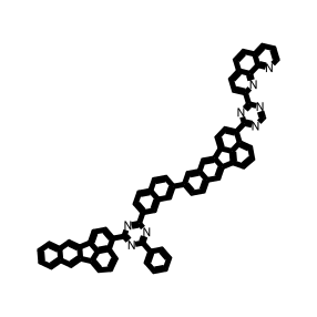 c1ccc(-c2nc(-c3ccc4ccc(-c5ccc6cc7c(cc6c5)-c5ccc(-c6ncnc(-c8ccc9ccc%10cccnc%10c9n8)n6)c6cccc-7c56)cc4c3)nc(-c3ccc4c5c(cccc35)-c3cc5ccccc5cc3-4)n2)cc1